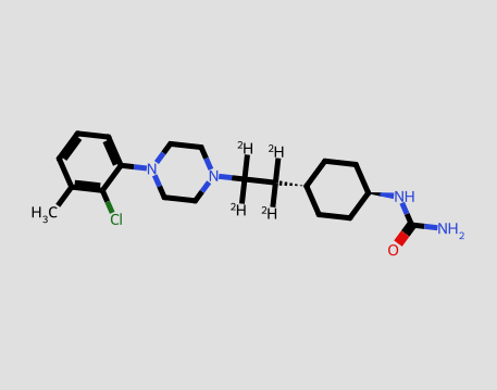 [2H]C([2H])(N1CCN(c2cccc(C)c2Cl)CC1)C([2H])([2H])[C@H]1CC[C@H](NC(N)=O)CC1